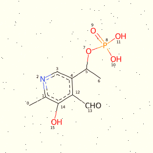 Cc1ncc(C(C)OP(=O)(O)O)c(C=O)c1O